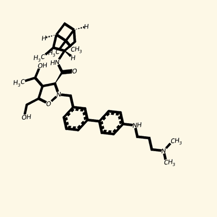 CC(O)C1C(CO)ON(Cc2cccc(-c3ccc(NCCCN(C)C)cc3)c2)[C@@H]1C(=O)N[C@H]1C[C@@H]2C[C@H](C1C)C2(C)C